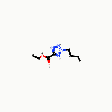 CCCCn1nnc(C(=O)OCC)n1